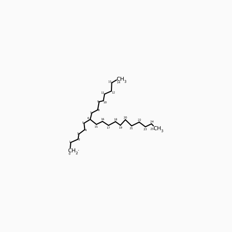 [CH2]CCCCCC(CCCCCCCC)CCCCCCCCCCC